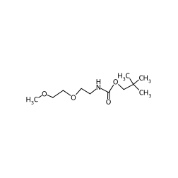 COCCOCCNC(=O)OCC(C)(C)C